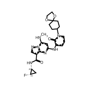 CNc1cc(Nc2cccn(C3CCC4(CC3)OCCO4)c2=O)nc2c(C(=O)N[C@@H]3C[C@@H]3F)cnn12